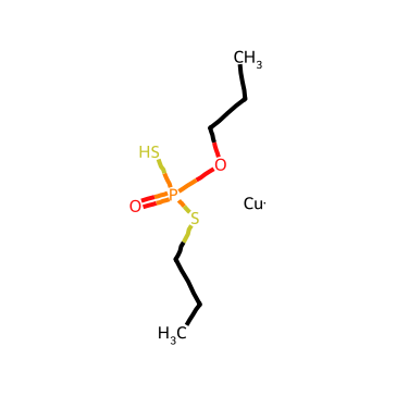 CCCOP(=O)(S)SCCC.[Cu]